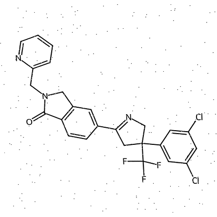 O=C1c2ccc(C3=NCC(c4cc(Cl)cc(Cl)c4)(C(F)(F)F)C3)cc2CN1Cc1ccccn1